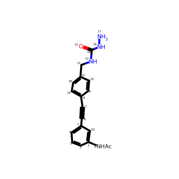 CC(=O)Nc1cccc(C#Cc2ccc(CNC(=O)NN)cc2)c1